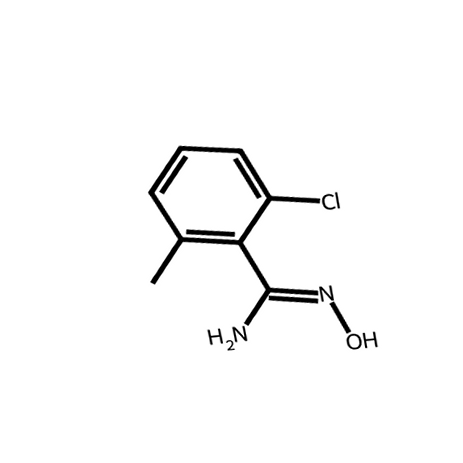 Cc1cccc(Cl)c1/C(N)=N/O